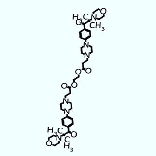 CC(C)(C(=O)c1ccc(N2CCN(CCC(=O)OCCOC(=O)CCN3CCN(c4ccc(C(=O)C(C)(C)N5CCOCC5)cc4)CC3)CC2)cc1)N1CCOCC1